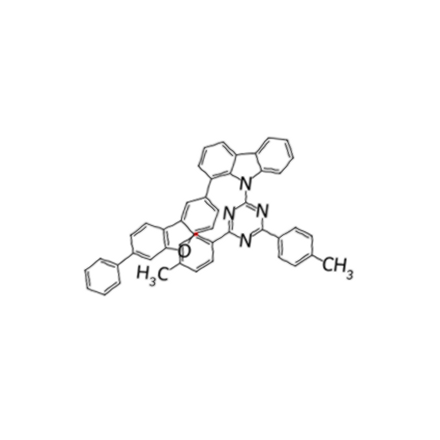 Cc1ccc(-c2nc(-c3ccc(C)cc3)nc(-n3c4ccccc4c4cccc(-c5ccc6oc7cc(-c8ccccc8)ccc7c6c5)c43)n2)cc1